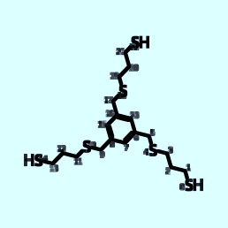 SCCCSCc1cc(CSCCCS)cc(CSCCCS)c1